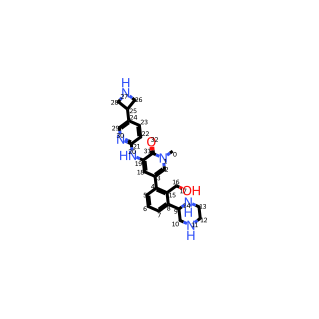 Cn1cc(-c2cccc(C3CNCCN3)c2CO)cc(Nc2ccc(C3CNC3)cn2)c1=O